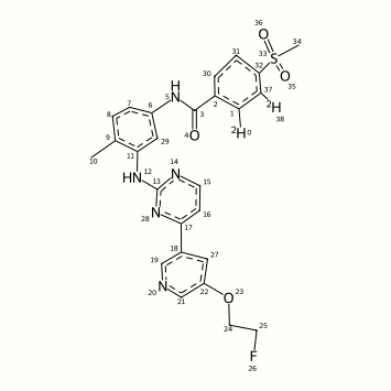 [2H]c1c(C(=O)Nc2ccc(C)c(Nc3nccc(-c4cncc(OCCF)c4)n3)c2)ccc(S(C)(=O)=O)c1[2H]